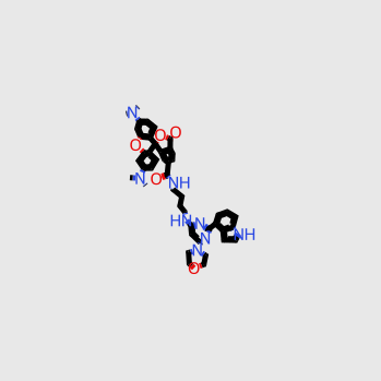 CN(C)c1ccc2c(c1)Oc1cc(N(C)C)ccc1C21OC(=O)c2ccc(C(=O)NCCCCNc3cc(N4CCOCC4)nc(-c4cccc5[nH]ccc45)n3)cc21